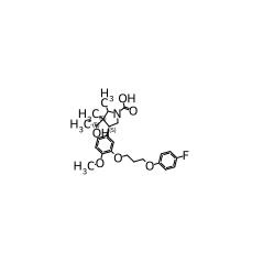 COc1ccc([C@@H]2CN(C(=O)O)C(C)[C@@]2(C)[C@@H](C)O)cc1OCCCOc1ccc(F)cc1